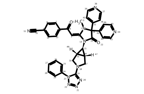 CN1C(=CC(=O)c2ccc(C#N)cc2)N([C@H]2[C@@H]3CN(c4nnnn4-c4ccccc4)C[C@@H]32)C(=O)C1(c1ccncc1)c1ccncc1